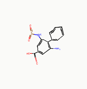 Nc1cc(C(=O)O)cc(N[SH](=O)=O)c1-c1ccccc1